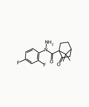 CC1(C)C2CCC1(C(=O)N(N)c1ccc(F)cc1F)C(=O)C2